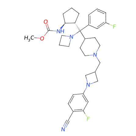 COC(=O)N[C@H]1CCC[C@@H]1C(c1cccc(F)c1)(C1CCN(CC2CN(c3ccc(C#N)c(F)c3)C2)CC1)N1CCC1